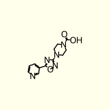 O=C(O)N1CCN(c2noc(-c3cccnc3)n2)CC1